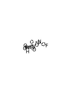 CC1(C)C(=O)N(c2ccc3c(-c4ccc(F)cc4)ncn3c2)[C@@H](c2ccccc2)[C@@H]1CN[SH](=O)=O